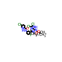 CC(C)(C)OC(=O)NC1=NC(C)(c2cc(NC(=O)c3ccc(Cl)cn3)ccc2F)Cn2c1nc(Cl)c2Cl